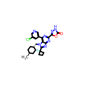 C[C@H]1CC[C@H](Cn2c(C3(F)CCC3)nc3nc(-c4n[nH]c(=O)o4)nc(-c4cncc(Cl)c4)c32)CC1